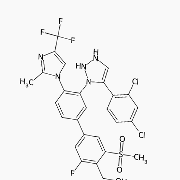 Cc1nc(C(F)(F)F)cn1-c1ccc(-c2cc(F)c(CO)c(S(C)(=O)=O)c2)cc1N1NNC=C1c1ccc(Cl)cc1Cl